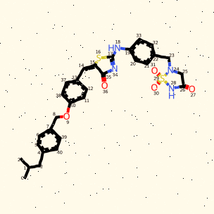 CC(C)Cc1ccc(COc2ccc(C=C3SC(Nc4ccc(CN5CC(=O)NS5(=O)=O)cc4)=NC3=O)cc2)cc1